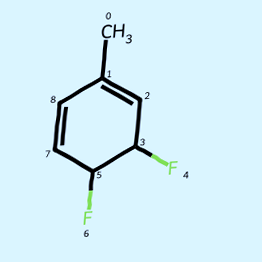 CC1=CC(F)C(F)C=C1